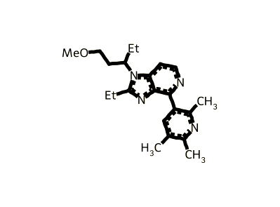 CCc1nc2c(-c3cc(C)c(C)nc3C)nccc2n1C(CC)CCOC